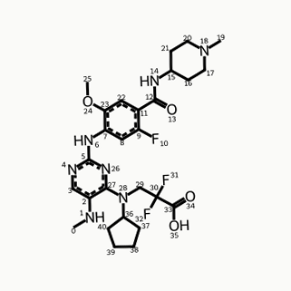 CNc1cnc(Nc2cc(F)c(C(=O)NC3CCN(C)CC3)cc2OC)nc1N(CC(F)(F)C(=O)O)C1CCCC1